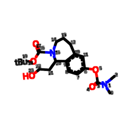 CN(C)C(=O)Oc1ccc2c(c1)CCCN(C(=O)OC(C)(C)C)C2CCO